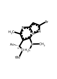 CC(=O)[C@@H](OC(C)(C)C)c1c(C)nc2cc(Br)nn2c1N(C)C